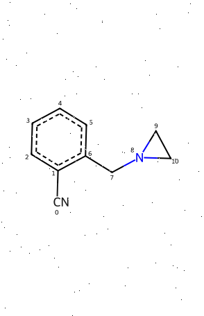 N#Cc1ccccc1CN1CC1